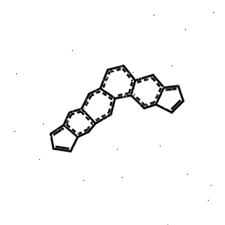 C1=Cc2cc3cc4c(ccc5cc6c(cc54)C=CC=6)cc3cc2=C1